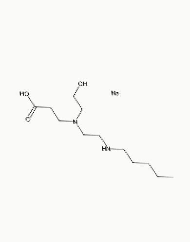 CCCCCNCCN(CCO)CCC(=O)O.[Na]